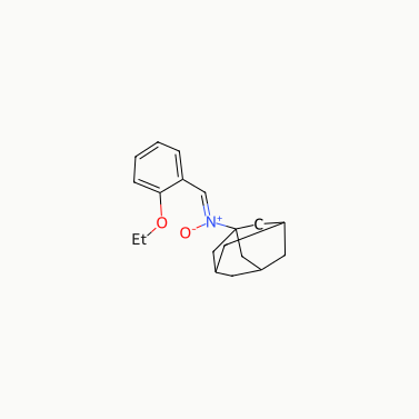 CCOc1ccccc1C=[N+]([O-])C12CC3CC(CC(C3)C1)C2